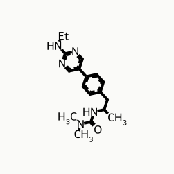 CCNc1ncc(-c2ccc(CC(C)NC(=O)N(C)C)cc2)cn1